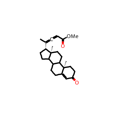 COC(=O)C=C=C(C)[C@H]1CCC2C3CCC4=CC(=O)CC[C@]4(C)C3CC[C@@]21C